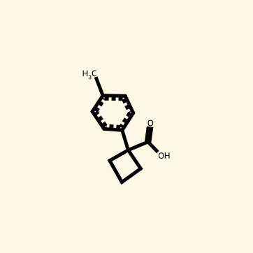 Cc1ccc(C2(C(=O)O)CCC2)cc1